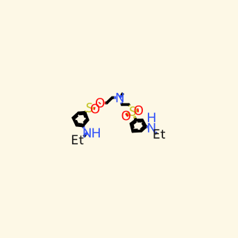 CCNc1cccc(SOOCCN(C)CCS(=O)(=O)c2cccc(NCC)c2)c1